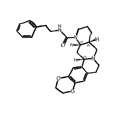 O=C(NCCc1ccccc1)N1CCC[C@@H]2CN3CCc4cc5c(cc4[C@@H]3C[C@@H]21)OCCO5